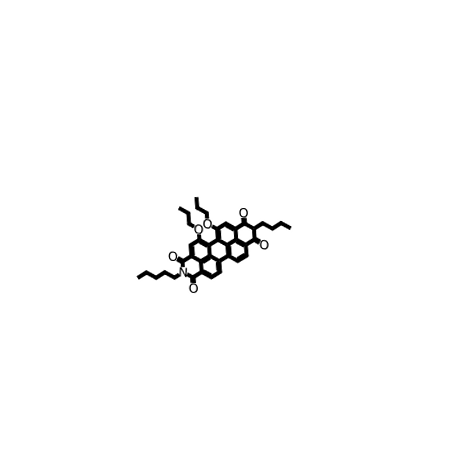 CCCCCN1C(=O)c2ccc3c4ccc5c6c(cc(OCCC)c(c7c(OCCC)cc(c2c37)C1=O)c64)C(=O)C(CCCC)C5=O